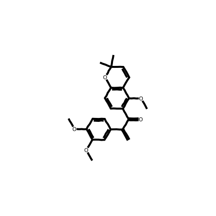 C=C(C(=O)c1ccc2c(c1OC)C=CC(C)(C)O2)c1ccc(OC)c(OC)c1